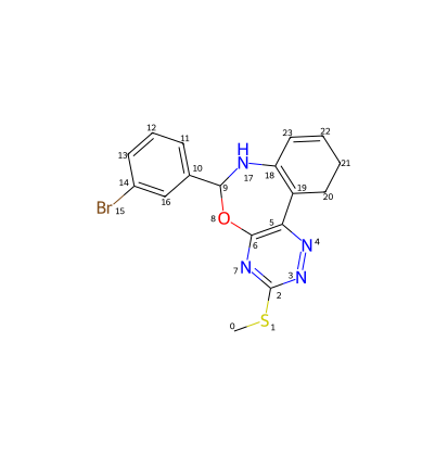 CSc1nnc2c(n1)OC(c1cccc(Br)c1)NC1=C2CCC=C1